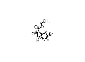 CCOC(=O)n1c(=O)[nH]c2ncc(Br)cc21